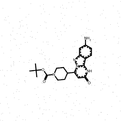 CC(C)(C)OC(=O)N1CCC(c2cc(=O)[nH]c3c4ccc(N)cc4nn23)CC1